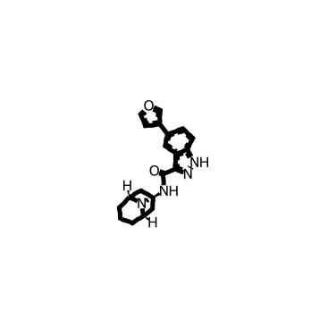 CN1[C@@H]2CCC[C@H]1C[C@@H](NC(=O)c1n[nH]c3ccc(-c4ccoc4)cc13)C2